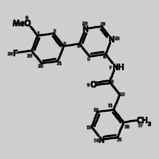 COc1cc(-c2cc(NC(=O)Cc3ccncc3C)ncn2)ccc1F